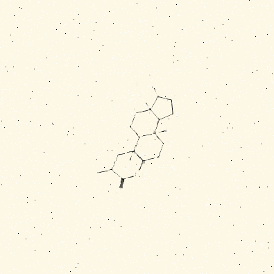 C[C@]12CC(I)C(=O)N[C@@H]1CC[C@@H]1[C@@H]2CC[C@]2(C)[C@@H](C(=O)O)CC[C@@H]12